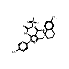 CS(=O)(=O)CC(=O)Nc1c2c(nn1-c1ccc(C#N)cn1)C[C@]1(CCCc3cc(C(F)(F)F)ccc31)NC2=O